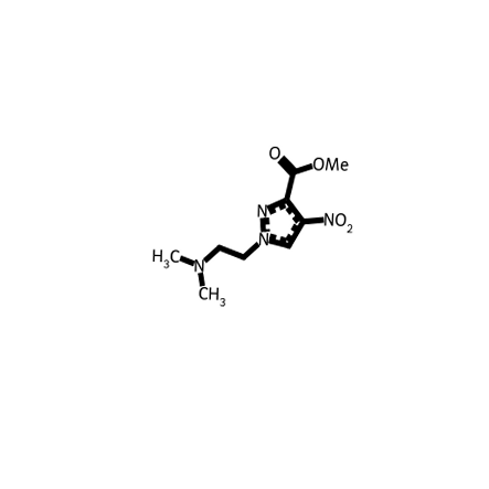 COC(=O)c1nn(CCN(C)C)cc1[N+](=O)[O-]